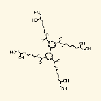 O=C(COCCCC(O)CO)c1cc(C(=O)OCCCCC(O)CO)cc(-c2cc(C(=O)OCCCCC(O)CO)cc(C(=O)OCCCCC(O)CO)c2)c1